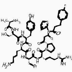 CC(C)C[C@H](NC(=O)[C@@H](CCCCN)NC(=O)[C@H](Cc1ccc(O)cc1)NC(=O)[C@H](CO)NC(=O)[C@H](C)N)C(=O)N[C@@H](CCCNC(=N)N)C(=O)N1CCC[C@H]1C(=O)CC(=O)N(C(=O)CCc1ccc(F)cc1)c1cccs1